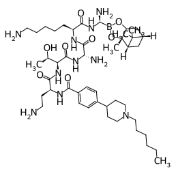 CCCCCCN1CCC(c2ccc(C(=O)N[C@@H](CCN)C(=O)N[C@H](C(=O)N[C@@H](N)C(=O)N[C@@H](CCCCCN)C(=O)N[C@@H](N)B3OC4C[C@@H]5C[C@@H](C5(C)C)[C@]4(C)O3)[C@@H](C)O)cc2)CC1